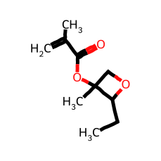 C=C(C)C(=O)OC1(C)COC1CC